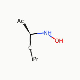 CC(=O)[C@H](CC(C)C)NO